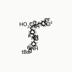 CC(C)(C)OC(=O)Nc1ccc(-c2nc(-c3ccc(CC(NC(=O)/C=C/c4ccc(Cl)c(C(F)(F)F)c4)C(=O)O)cc3F)no2)cc1